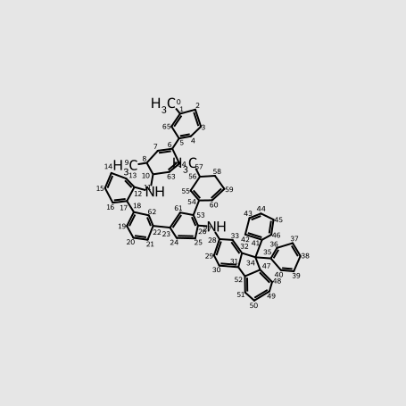 Cc1cccc(C2=CC(C)C(Nc3ccccc3-c3cccc(-c4ccc(Nc5ccc6c(c5)C(c5ccccc5)(c5ccccc5)c5ccccc5-6)c(C5=CC(C)CC=C5)c4)c3)C=C2)c1